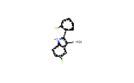 O=Cc1c(-c2ccccc2F)[nH]c2ccc(F)cc12